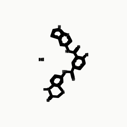 CN1C(=O)CSc2cc(NC(=O)c3ccc(Cl)c(C(=O)Nc4cnc5[nH]ccc5c4)c3)ccc21.Cl